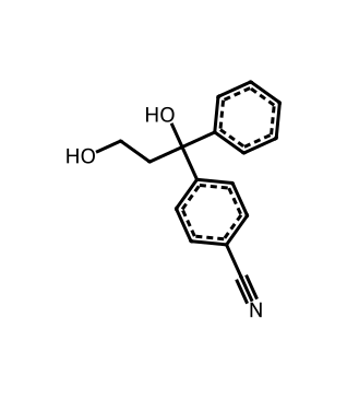 N#Cc1ccc(C(O)(CCO)c2ccccc2)cc1